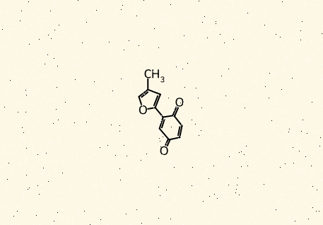 Cc1coc(C2=CC(=O)C=CC2=O)c1